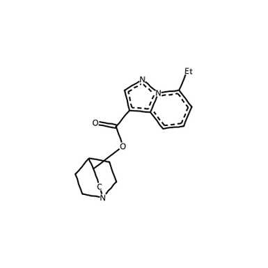 CCc1cccc2c(C(=O)OC3CN4CCC3CC4)cnn12